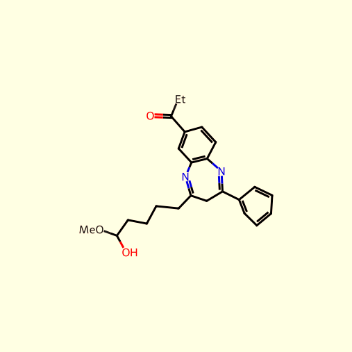 CCC(=O)c1ccc2c(c1)N=C(CCCCC(O)OC)CC(c1ccccc1)=N2